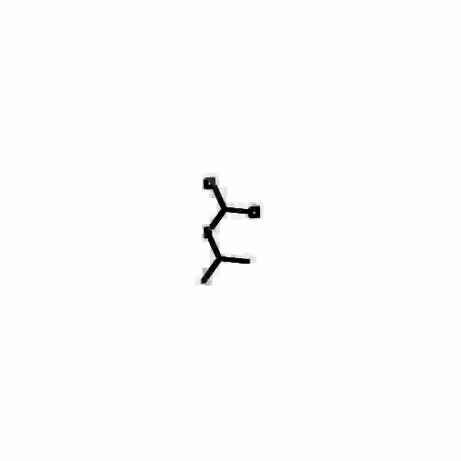 CC(C)SC(Cl)Cl